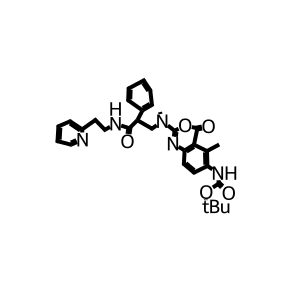 Cc1c(NC(=O)OC(C)(C)C)ccc2nc(N(C)CC(C(=O)NCCc3ccccn3)c3ccccc3)oc(=O)c12